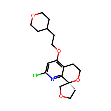 Clc1cc(OCCC2CCOCC2)c2c(n1)[C@@]1(CCOC1)OCC2